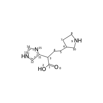 O=C(O)C(CCC1CCNC1)c1c[nH]cn1